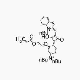 C=CC(=O)OCCOC1=CC(=[N+](CCCC)CCCC)C=C/C1=C1\C(=O)C(C=C2Sc3ccccc3N2CCCC)=C1O